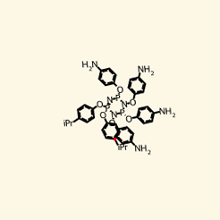 CC(C)c1ccc(OP2(Oc3ccc(C(C)C)cc3)=NP(Oc3ccc(N)cc3)N(Oc3ccc(N)cc3)P(Oc3ccc(N)cc3)N2Oc2ccc(N)cc2)cc1